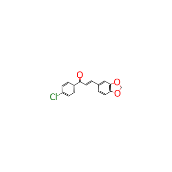 O=C(/C=C/c1ccc2c(c1)OCO2)c1ccc(Cl)cc1